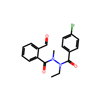 CCN(C(=O)c1ccc(Br)cc1)N(C)C(=O)c1ccccc1C=O